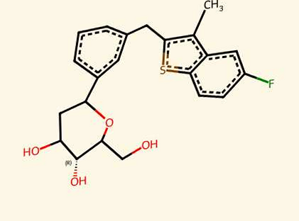 Cc1c(Cc2cccc(C3CC(O)[C@@H](O)C(CO)O3)c2)sc2ccc(F)cc12